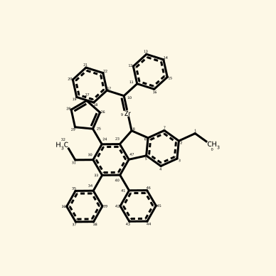 CCc1ccc2c(c1)[CH]([Zr]=[C](c1ccccc1)c1ccccc1)c1c(C3=CC=CC3)c(CC)c(-c3ccccc3)c(-c3ccccc3)c1-2